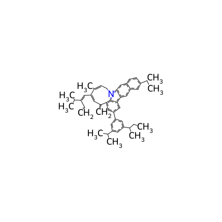 C=C\C(=C/C1=C/C(=C)c2cc(-c3cc(C(C)C)cc(C(C)CC)c3)cc3c4cc5cc(C(C)C)ccc5cc4n(c23)C/C=C\1C)C(C)C